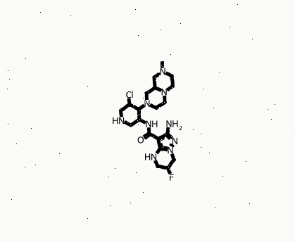 CN1CCN2CCN(C3C(Cl)CNCC3NC(=O)c3c(N)nn4c3NCC(F)C4)CC2C1